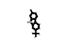 Cc1ccc2c(c1)[nH]c1cc(C(C)(C)C)ccc12